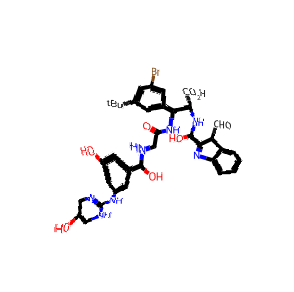 CC(C)(C)c1cc(Br)cc(C(NC(=O)CNC(O)c2cc(O)cc(NC3=NCC(O)CN3)c2)C(NC(O)C2=Nc3ccccc3C2C=O)C(=O)O)c1